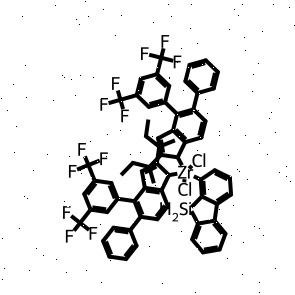 CCC(C)C1=Cc2c(ccc(-c3ccccc3)c2-c2cc(C(F)(F)F)cc(C(F)(F)F)c2)[CH]1[Zr]([Cl])([Cl])([c]1cccc2c1[SiH2]c1ccccc1-2)[CH]1C(C(C)CC)=Cc2c1ccc(-c1ccccc1)c2-c1cc(C(F)(F)F)cc(C(F)(F)F)c1